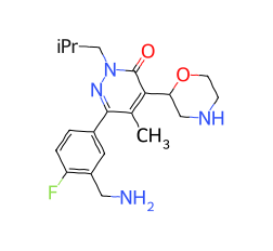 Cc1c(-c2ccc(F)c(CN)c2)nn(CC(C)C)c(=O)c1C1CNCCO1